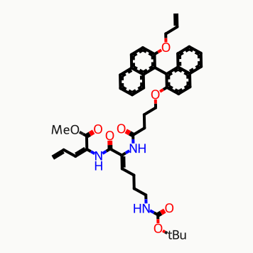 C=C/C=C(/NC(=O)/C(=C/CCCNC(=O)OC(C)(C)C)NC(=O)CCCOc1ccc2ccccc2c1-c1c(OCC=C)ccc2ccccc12)C(=O)OC